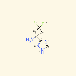 NC1(c2nc[nH]n2)CC(F)(F)C1